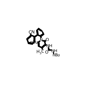 CCCCNC(=O)Nc1c(C)cc(CCCC)n(-c2ccccc2-c2ccccc2C#N)c1=O